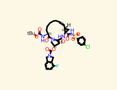 CC(C)(C)OC(=O)N[C@H]1CCCCC/C=C\[C@@H]2C[C@@]2(C(=O)NS(=O)(=O)c2ccc(Cl)cc2)NC(=O)[C@@H]2C[C@@H](OC(=O)N3Cc4cccc(F)c4C3)CN2C1=O